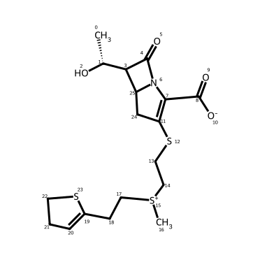 C[C@@H](O)C1C(=O)N2C(C(=O)[O-])=C(SCC[S+](C)CCC3=CCCS3)CC12